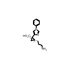 NCCC[C@@H]1C[C@@]1(C(=O)O)c1cn(-c2ccccc2)cn1